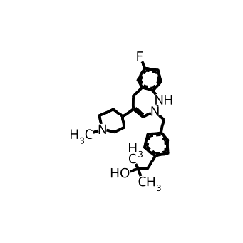 CN1CCC(C2=CN(Cc3ccc(CC(C)(C)O)cc3)Nc3ccc(F)cc3C2)CC1